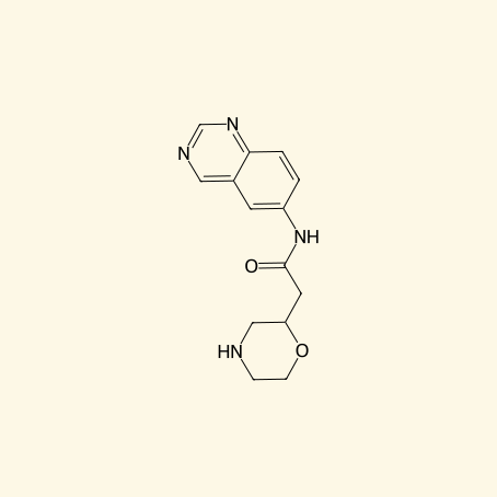 O=C(CC1CNCCO1)Nc1ccc2ncncc2c1